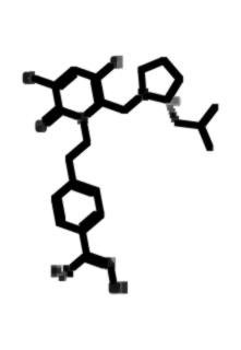 CC(C)C[C@H]1CCCN1Cc1c(Cl)cc(Cl)c(=O)n1CCc1ccc(C(N)=NO)cc1